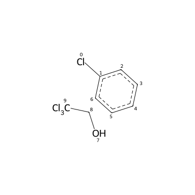 Clc1ccccc1.OCC(Cl)(Cl)Cl